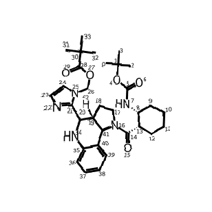 CC(C)(C)OC(=O)N[C@@H]1CCCC[C@@H]1C(=O)N1CC[C@H]2C(c3nccn3COC(=O)C(C)(C)C)Nc3ccccc3C21